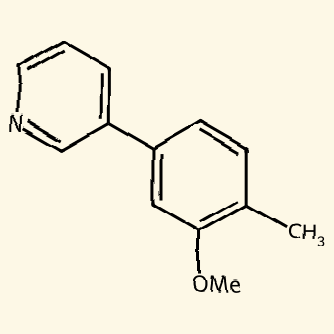 COc1cc(-c2cccnc2)ccc1C